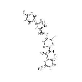 CC1C[C@@H](NC(=O)c2cc(C(F)(F)F)ccc2Cl)CC[C@@H]1CNc1cc(-c2ccc(F)cc2)[nH]n1